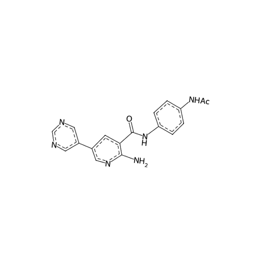 CC(=O)Nc1ccc(NC(=O)c2cc(-c3cncnc3)cnc2N)cc1